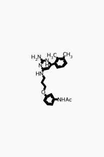 CC(=O)Nc1cccc(OCCCNC2=CC(c3cccc(C)c3C)NC(N)=N2)c1